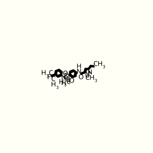 CCCc1cc(C(=O)Nc2ccc(S(=O)(=O)Nc3cccc(C(C)(C)F)c3)c(OC)c2)n(C)n1